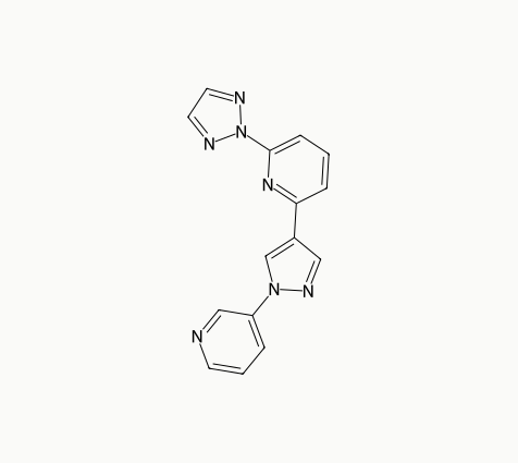 c1cncc(-n2cc(-c3cccc(-n4nccn4)n3)cn2)c1